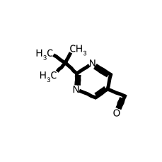 CC(C)(C)c1ncc(C=O)cn1